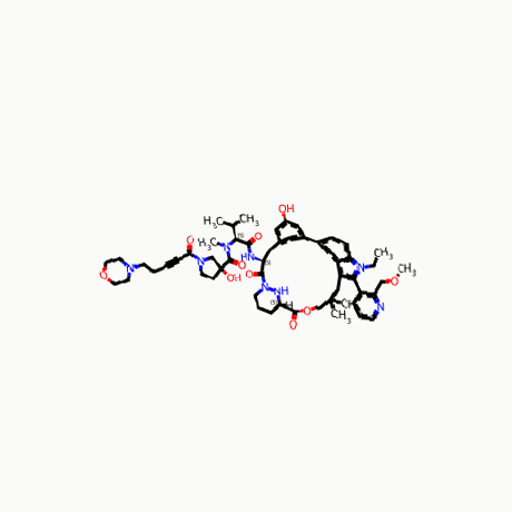 CCn1c(-c2cccnc2COC)c2c3cc(ccc31)-c1cc(O)cc(c1)C[C@H](NC(=O)[C@H](C(C)C)N(C)C(=O)C1(O)CCN(C(=O)C#CCCN3CCOCC3)C1)C(=O)N1CCC[C@H](N1)C(=O)OCC(C)(C)C2